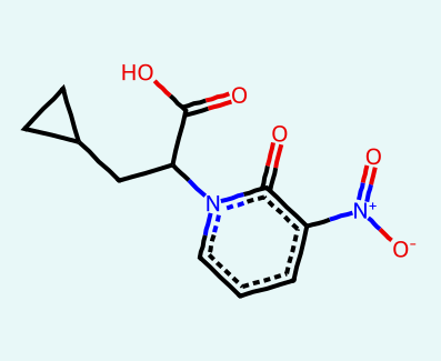 O=C(O)C(CC1CC1)n1cccc([N+](=O)[O-])c1=O